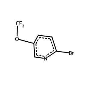 FC(F)(F)Oc1ccc(Br)nc1